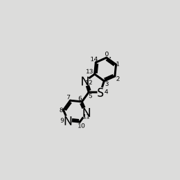 [c]1ccc2sc(-c3ccncn3)nc2c1